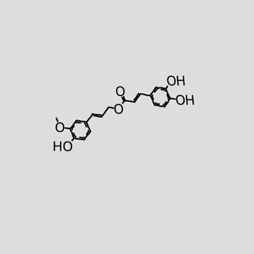 COc1cc(C=CCOC(=O)C=Cc2ccc(O)c(O)c2)ccc1O